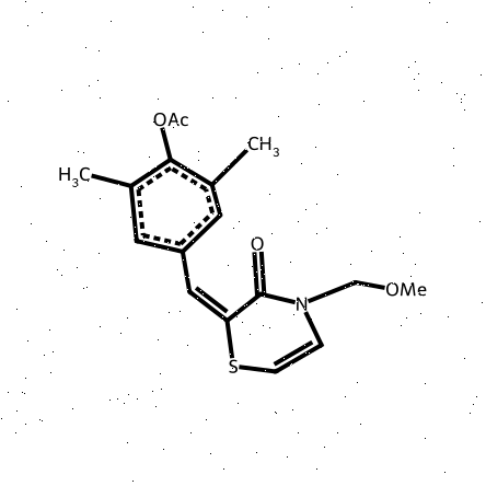 COCN1C=CSC(=Cc2cc(C)c(OC(C)=O)c(C)c2)C1=O